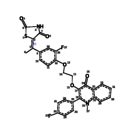 C/C(=C1\SC(=O)NC1=O)c1ccc(OCCOc2c(-c3ccc(F)cc3)n(C)c3ccccc3c2=O)c(F)c1